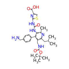 Cc1nc(CC(C)C)c(CNC(=O)OC(C)(C)C)c(-c2ccc(CN)cc2)c1NC(=O)Nc1nc(C(=O)O)cs1